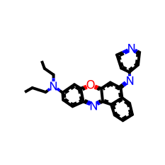 CCCN(CCC)c1ccc2nc3c4ccccc4c(=Nc4ccncc4)cc-3oc2c1